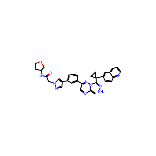 C=C1N=CC(c2cccc(-c3cnn(CC(=O)NC4CCOC4)c3)c2)=NN1/C(=N\N)C1(c2ccc3ncccc3c2)CC1